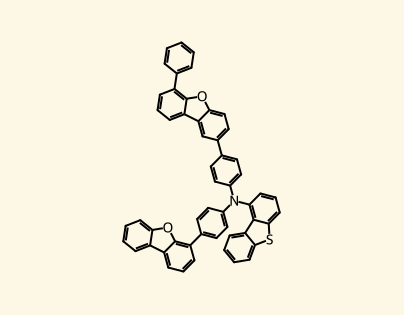 c1ccc(-c2cccc3c2oc2ccc(-c4ccc(N(c5ccc(-c6cccc7c6oc6ccccc67)cc5)c5cccc6sc7ccccc7c56)cc4)cc23)cc1